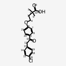 CC(C)(CCOc1ccc(C(=O)Cc2ccc(Cl)cc2)cc1)C(=O)O